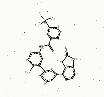 Cc1ccc(NC(=O)c2ccnc(C(C)(C)F)c2)cc1-c1cncc(-c2ccnc3c2CC(=O)N3)c1